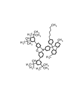 CCCCCCc1ccc(C2(c3ccc(N4c5ccc(-c6cc(C(C)(C)C)cc(C(C)(C)C)c6)cc5Oc5cc(-c6cc(C(C)(C)C)cc(C(C)(C)C)c6)ccc54)cc3)c3cc(C)ccc3-c3ccc(C)cc32)cc1